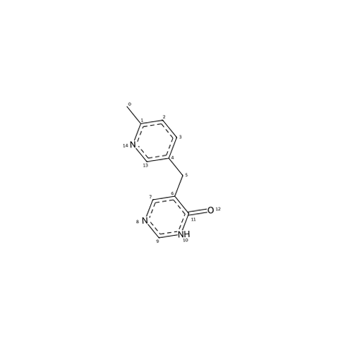 Cc1ccc(Cc2cnc[nH]c2=O)cn1